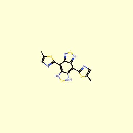 Cc1cnc(-c2c3c(c(-c4ncc(C)s4)c4nsnc24)NSN3)s1